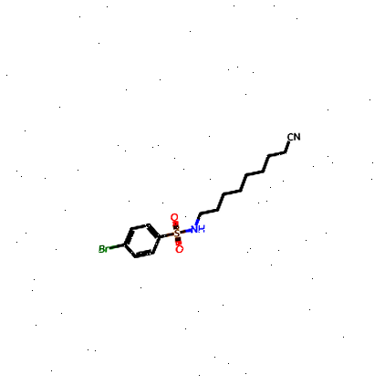 N#CCCCCCCCCNS(=O)(=O)c1ccc(Br)cc1